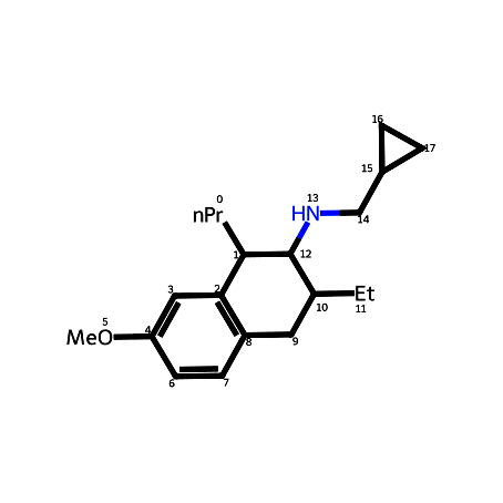 CCCC1c2cc(OC)ccc2CC(CC)C1NCC1CC1